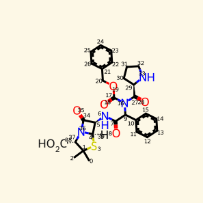 CC1(C)S[C@@H]2[C@H](NC(=O)C(c3ccccc3)N(C(=O)OCc3ccccc3)C(=O)[C@H]3CCCN3)C(=O)N2[C@H]1C(=O)O